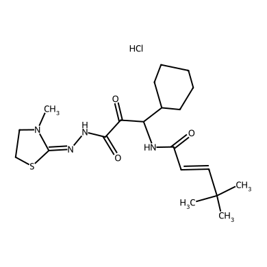 CN1CCSC1=NNC(=O)C(=O)C(NC(=O)/C=C/C(C)(C)C)C1CCCCC1.Cl